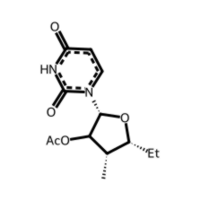 CC[C@H]1O[C@@H](n2ccc(=O)[nH]c2=O)C(OC(C)=O)[C@H]1C